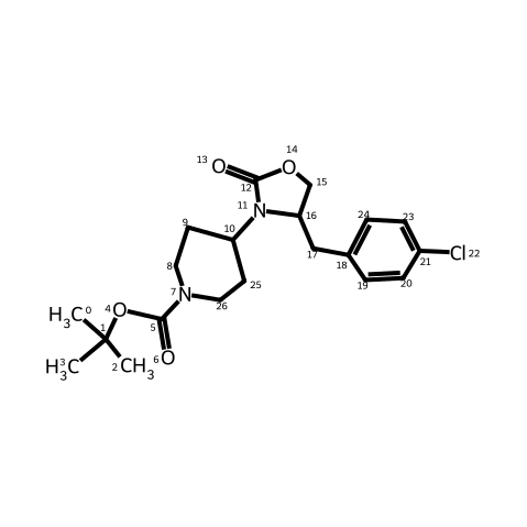 CC(C)(C)OC(=O)N1CCC(N2C(=O)OCC2Cc2ccc(Cl)cc2)CC1